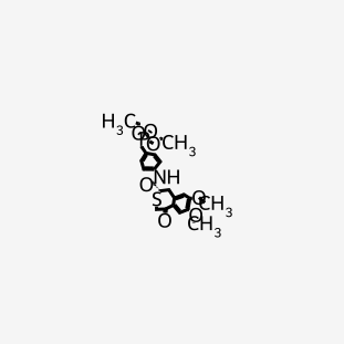 CCOP(=O)(Cc1ccc(NC(=O)[C@@H]2Cc3cc(OC)c(OC)cc3C(=O)CS2)cc1)OCC